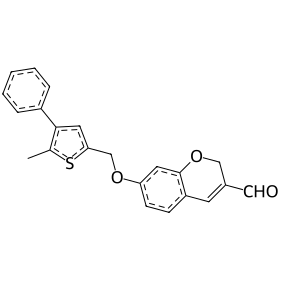 Cc1sc(COc2ccc3c(c2)OCC(C=O)=C3)cc1-c1ccccc1